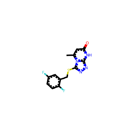 Cc1cc(=O)[nH]c2nnc(SCc3cc(F)ccc3F)n12